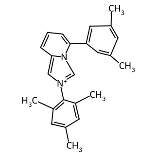 Cc1cc(C)cc(-c2cccc3c[n+](-c4c(C)cc(C)cc4C)cn23)c1